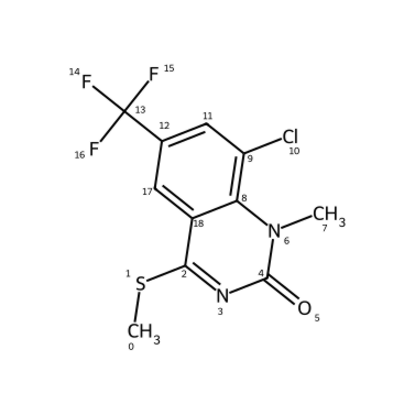 CSc1nc(=O)n(C)c2c(Cl)cc(C(F)(F)F)cc12